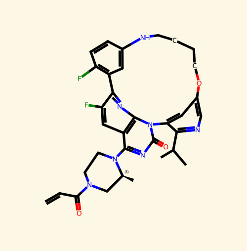 C=CC(=O)N1CCN(c2nc(=O)n3c4nc(c(F)cc24)-c2cc(ccc2F)NCCCCOc2cnc(C(C)C)c-3c2)[C@@H](C)C1